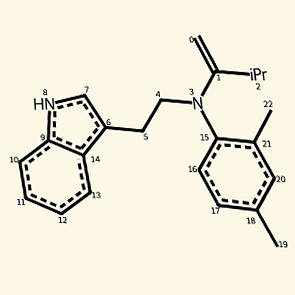 C=C(C(C)C)N(CCc1c[nH]c2ccccc12)c1ccc(C)cc1C